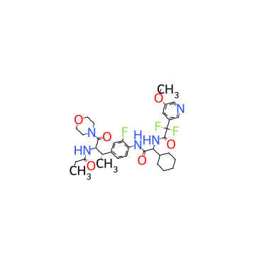 CCC(=O)N[C@@H](C(=O)N1CCOCC1)[C@@H](C)c1ccc(NC(=O)[C@@H](NC(=O)C(F)(F)c2cncc(OC)c2)C2CCCCC2)c(F)c1